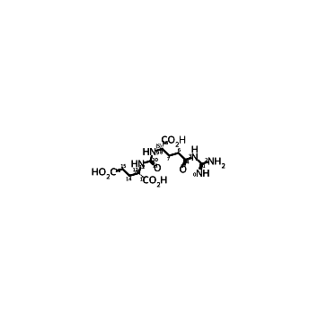 N=C(N)NC(=O)CC[C@H](NC(=O)N[C@@H](CCC(=O)O)C(=O)O)C(=O)O